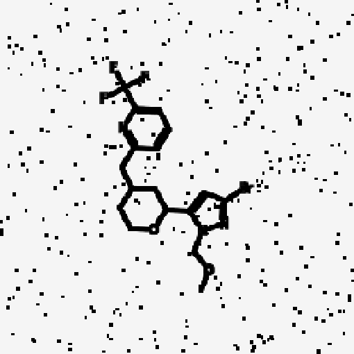 COCn1nc(Br)cc1C1CC(Cc2cccc(C(F)(F)F)n2)CCO1